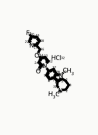 CN1CCCc2c(c3ccc(-n4ccc(OCc5ccc(F)cn5)cc4=O)cc3n2C)C1.Cl